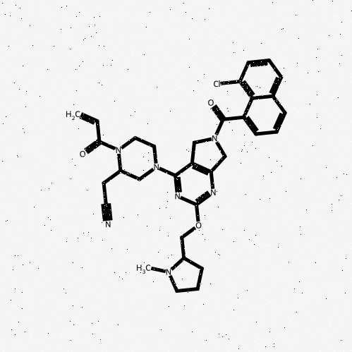 C=CC(=O)N1CCN(c2nc(OCC3CCCN3C)nc3c2CN(C(=O)c2cccc4cccc(Cl)c24)C3)CC1CC#N